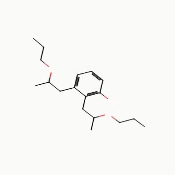 CCCOC(C)Cc1cccc(O)c1CC(C)OCCC